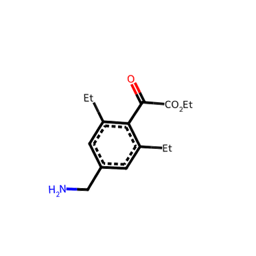 CCOC(=O)C(=O)c1c(CC)cc(CN)cc1CC